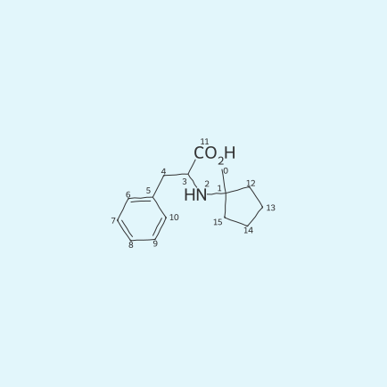 CC1(NC(Cc2ccccc2)C(=O)O)CCCC1